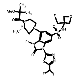 CCn1c(=O)n(-c2nnc(C(F)F)s2)c2cc(S(=O)(=O)NC3(CF)COC3)cc(N3CCN(C(=O)C(C)(C)OC)[C@@H](C)C3)c21